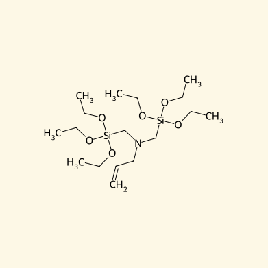 C=CCN(C[Si](OCC)(OCC)OCC)C[Si](OCC)(OCC)OCC